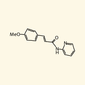 COc1ccc(/C=C/C(=O)Nc2ccccn2)cc1